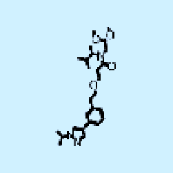 COC(CN(C(=O)CCOCCc1cccc(-c2cnn(C(C)C)c2)c1)C(C)C(C)C)OC